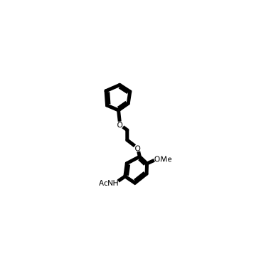 COc1ccc(NC(C)=O)cc1OCCOc1ccccc1